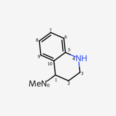 CNC1CCNc2ccccc21